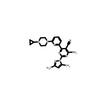 Cc1cc(C)n(-c2nc(N)c(C#N)c(-c3cccc(N4CCN(C5CC5)CC4)n3)n2)n1